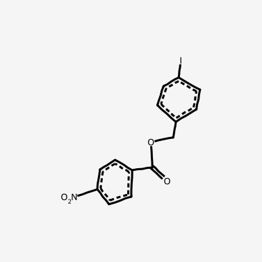 O=C(OCc1ccc(I)cc1)c1ccc([N+](=O)[O-])cc1